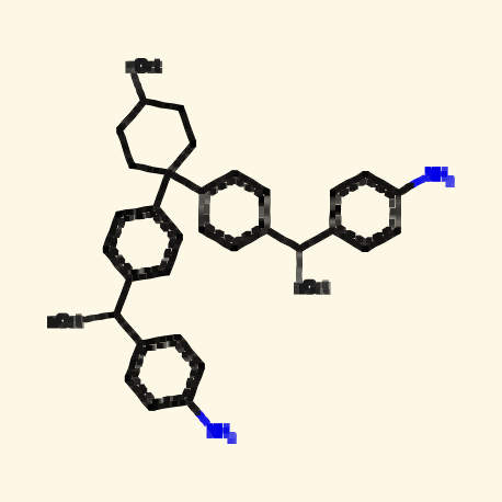 CCCCCCCCC1CCC(c2ccc(C(CCCCCCCC)c3ccc(N)cc3)cc2)(c2ccc(C(CCCCCCCC)c3ccc(N)cc3)cc2)CC1